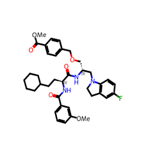 COC(=O)c1ccc(COC[C@H](CN2CCc3cc(F)ccc32)NC(=O)[C@H](CCC2CCCCC2)NC(=O)c2cccc(OC)c2)cc1